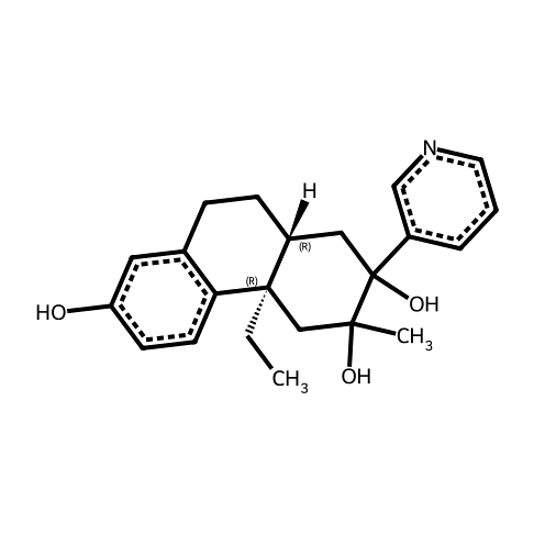 CC[C@@]12CC(C)(O)C(O)(c3cccnc3)C[C@H]1CCc1cc(O)ccc12